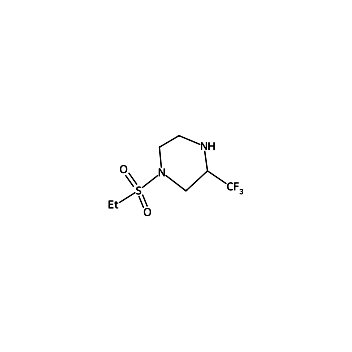 CCS(=O)(=O)N1CCNC(C(F)(F)F)C1